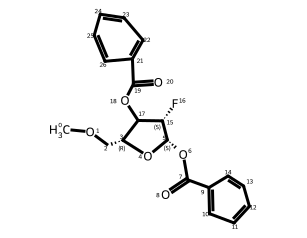 COC[C@H]1O[C@@H](OC(=O)c2ccccc2)[C@@H](F)C1OC(=O)c1ccccc1